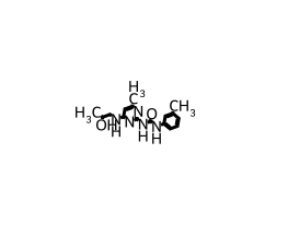 Cc1cccc(NC(=O)Nc2nc(C)cc(NCC(C)O)n2)c1